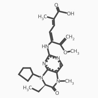 C=C(OC)/C(=C\C=C(/C)C(=O)O)Nc1ncc2c(n1)N(C1CCCC1)[C@H](CC)C(=O)N2C